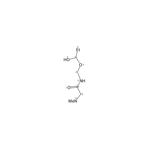 CCC(O)OCNC(=O)CNC